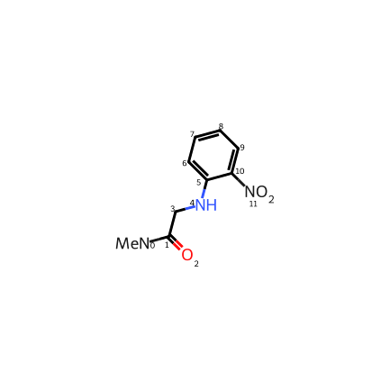 CNC(=O)CNc1ccccc1[N+](=O)[O-]